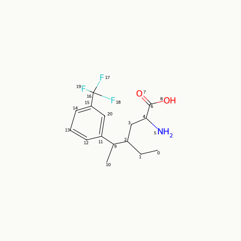 CCC(CC(N)C(=O)O)C(C)c1cccc(C(F)(F)F)c1